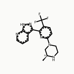 C[C@H]1CN(c2ccc(C(F)(F)F)c(-c3n[nH]c4ncccc34)n2)CCN1